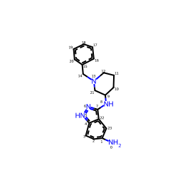 Nc1ccc2[nH]nc(NC3CCCN(Cc4ccccc4)C3)c2c1